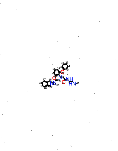 CNCCNC(=O)CN(CC(=O)N(C)N1Cc2ccccc2C1)c1ccccc1Oc1ccccc1